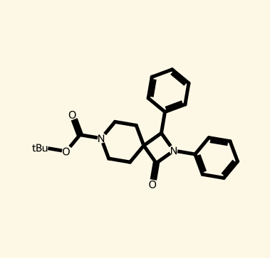 CC(C)(C)OC(=O)N1CCC2(CC1)C(=O)N(c1ccccc1)C2c1ccccc1